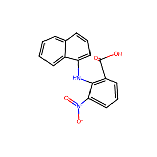 O=C(O)c1cccc([N+](=O)[O-])c1Nc1cccc2ccccc12